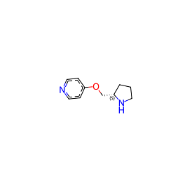 c1cc(OC[C@@H]2CCCN2)ccn1